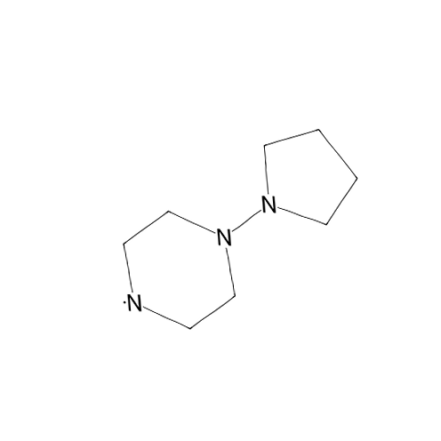 C1CCN(N2CC[N]CC2)C1